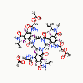 C=CCN(C)C(=O)C1=C(I)C(C(=O)N2CCN(C(=O)C3=C(I)C(NC(=O)COC(C)=O)=C(I)C(C(=O)N(C)CC=C)C3I)CCN(C(=O)c3c(I)c(NC(=O)COC(C)=O)c(I)c(C(=O)N(C)CC=C)c3I)CC2)C(I)C(NC(=O)COC(C)=O)=C1I